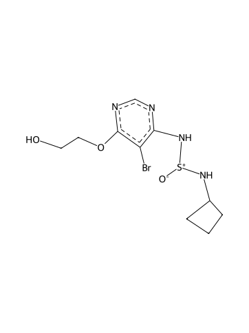 [O-][S+](Nc1ncnc(OCCO)c1Br)NC1CCC1